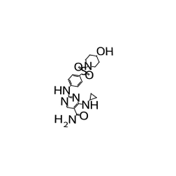 NC(=O)c1cnc(Nc2ccc(S(=O)(=O)N3CCC(O)CC3)cc2)nc1NC1CC1